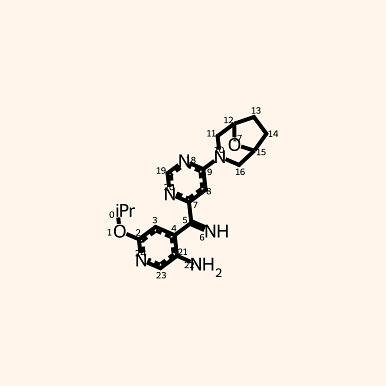 CC(C)Oc1cc(C(=N)c2cc(N3CC4CCC(C3)O4)ncn2)c(N)cn1